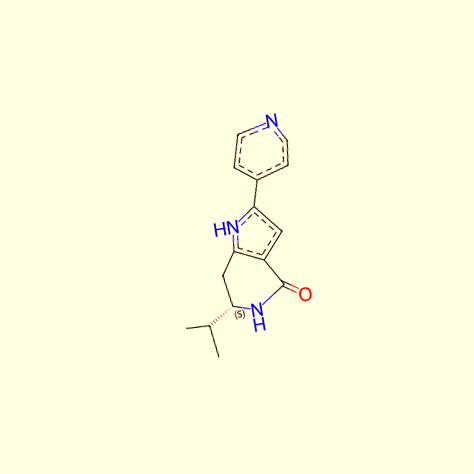 CC(C)[C@@H]1Cc2[nH]c(-c3ccncc3)cc2C(=O)N1